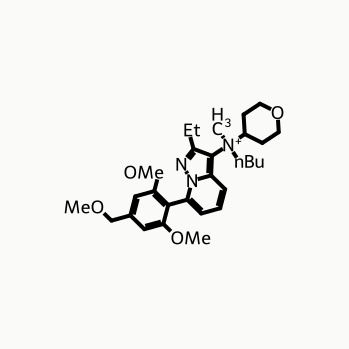 CCCC[N+](C)(c1c(CC)nn2c(-c3c(OC)cc(COC)cc3OC)cccc12)C1CCOCC1